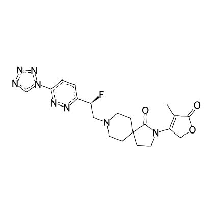 CC1=C(N2CCC3(CCN(C[C@H](F)c4ccc(-n5cnnn5)nn4)CC3)C2=O)COC1=O